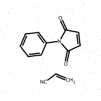 C=CC#N.O=C1C=CC(=O)N1c1ccccc1